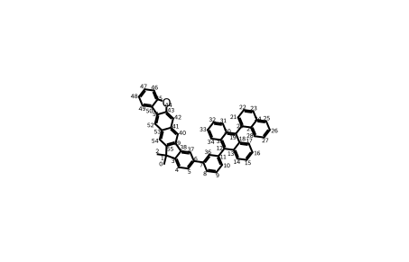 CC1(C)c2ccc(-c3cccc(-c4c5ccccc5c(-c5cccc6ccccc56)c5ccccc45)c3)cc2-c2cc3cc4oc5ccccc5c4cc3cc21